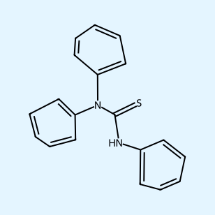 S=C(Nc1ccccc1)N(c1ccccc1)c1ccccc1